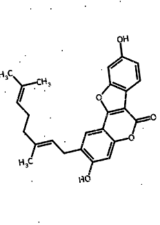 CC(C)=CCC/C(C)=C/Cc1cc2c(cc1O)oc(=O)c1c3ccc(O)cc3oc21